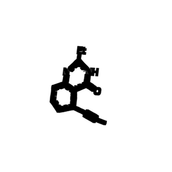 CC#Cc1cccc2nc(CC)[nH]c(=O)c12